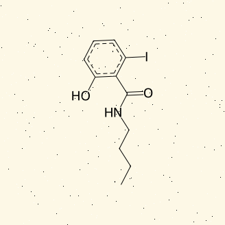 CCCCNC(=O)c1c(O)cccc1I